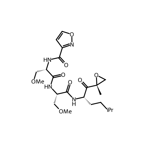 COC[C@H](NC(=O)c1ccon1)C(=O)N[C@@H](COC)C(=O)N[C@@H](CCC(C)C)C(=O)[C@@]1(C)CO1